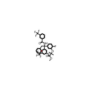 COC(=O)C(C)(C)Oc1cc(C(Cc2ccccc2)(NC(=O)c2cccc(C(F)(F)F)c2)c2cc(F)cc(C(F)(F)F)c2)ccc1F